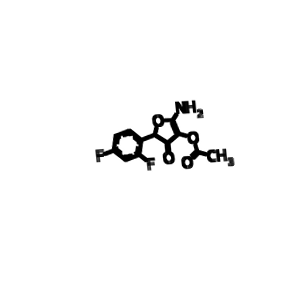 CC(=O)OC1=C(N)OC(c2ccc(F)cc2F)C1=O